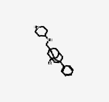 CCC12CC3CC(CNC4CCNCC4)(C1)CC(c1ccccc1)(C3)C2